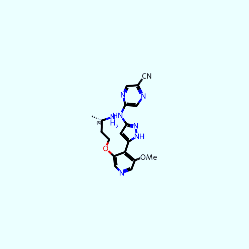 COc1cncc(OCC[C@H](C)N)c1-c1cc(Nc2cnc(C#N)cn2)n[nH]1